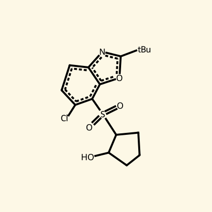 CC(C)(C)c1nc2ccc(Cl)c(S(=O)(=O)C3CCCC3O)c2o1